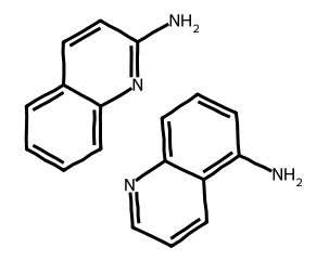 Nc1ccc2ccccc2n1.Nc1cccc2ncccc12